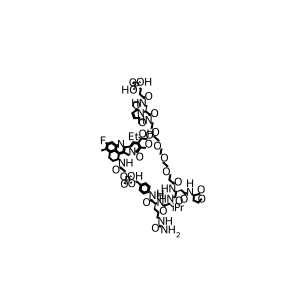 CC[C@@]1(O)C(=O)OCc2c1cc1n(c2=O)Cc2c-1nc1cc(F)c(C)c3c1c2[C@@H](NC(=O)COP(=O)(O)OCc1ccc(NC(=O)[C@H](CCCNC(N)=O)NC(=O)[C@@H](NC(=O)[C@H](CC(=O)N[C@H]2CCOC2=O)NC(=O)CCOCCOCCOCCOCCNC(=O)[C@H](CNC(=O)CCP(=O)(O)O)N2C(=O)C=CC2=O)C(C)C)cc1)CC3